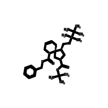 CC(C)(C)OC(=O)N1C[C@H](CO[Si](C)(C)C(C)(C)C)[C@@]2(CC=CCN2C(=O)OCc2ccccc2)C1